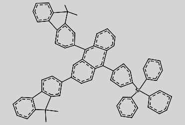 CC1(C)c2ccccc2-c2ccc(-c3ccc4c(-c5ccc([Si](c6ccccc6)(c6ccccc6)c6ccccc6)cc5)c5ccccc5c(-c5ccc6c(c5)C(C)(C)c5ccccc5-6)c4c3)cc21